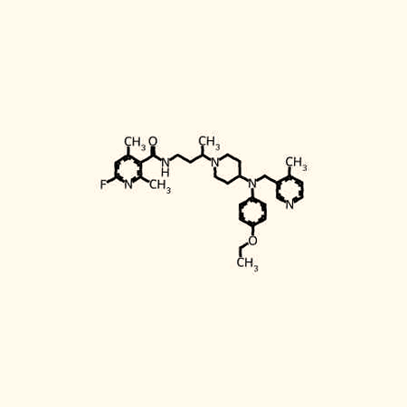 CCOc1ccc(N(Cc2cnccc2C)C2CCN(C(C)CCNC(=O)c3c(C)cc(F)nc3C)CC2)cc1